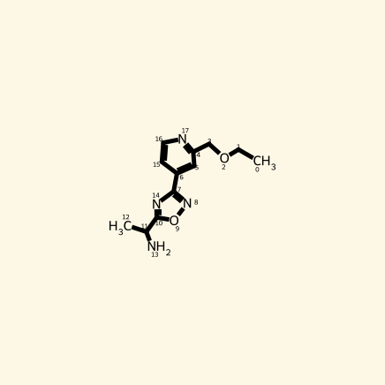 CCOCc1cc(-c2noc(C(C)N)n2)ccn1